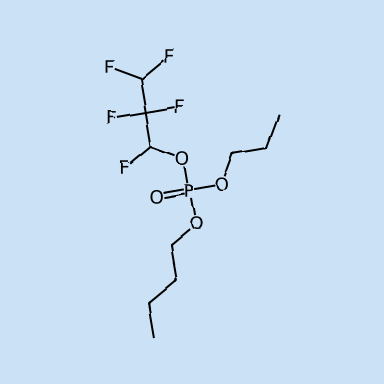 CCCCOP(=O)(OCCC)OC(F)C(F)(F)C(F)F